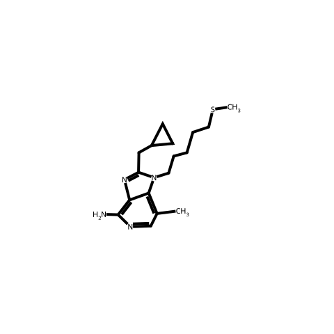 CSCCCCCn1c(CC2CC2)nc2c(N)ncc(C)c21